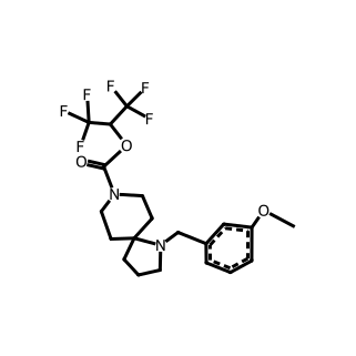 COc1cccc(CN2CCCC23CCN(C(=O)OC(C(F)(F)F)C(F)(F)F)CC3)c1